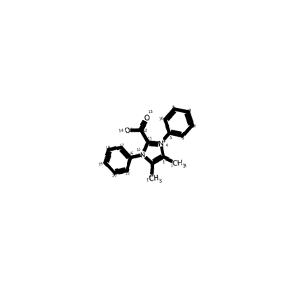 Cc1c(C)[n+](-c2ccccc2)c(C(=O)[O-])n1-c1ccccc1